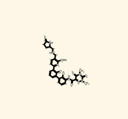 COc1nc(-c2cccc(-c3cccc(NC(=O)c4nn(C)c(=O)n(C)c4=O)c3Cl)c2Cl)ccc1CNCC1CCC(=O)N1